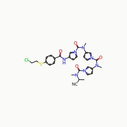 CC(C#N)N(C)C(=O)n1ccc(N(C)C(=O)n2ccc(N(C)C(=O)n3ccc(NC(=O)c4ccc(SCCCl)cc4)c3)c2)c1